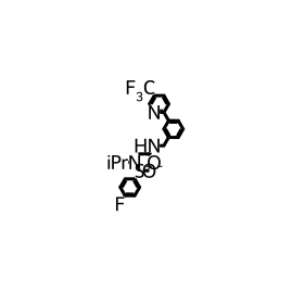 CC(C)N(CC(=O)NCc1cccc(-c2ccc(C(F)(F)F)cn2)c1)[S+]([O-])c1ccc(F)cc1